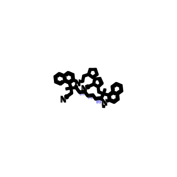 CN1/C(=C/C=C/C=C/C2=[N+](CCC3CCCC3)c3ccc4ccccc4c3C2(C)CC#N)C(C)(CC2C=CCC2C#N)c2c1ccc1ccccc21